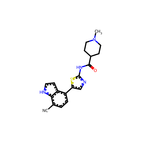 CN1CCC(C(=O)Nc2ncc(-c3ccc(C#N)c4[nH]ccc34)s2)CC1